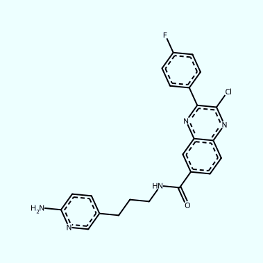 Nc1ccc(CCCNC(=O)c2ccc3nc(Cl)c(-c4ccc(F)cc4)nc3c2)cn1